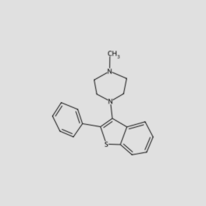 CN1CCN(c2c(-c3ccccc3)sc3ccccc23)CC1